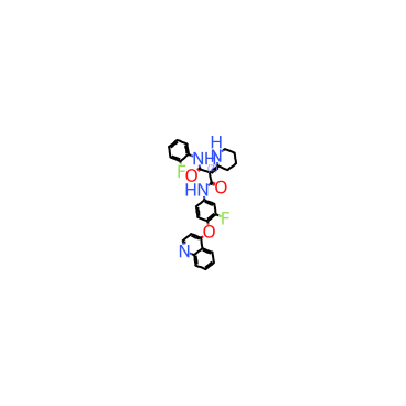 O=C(Nc1ccc(Oc2ccnc3ccccc23)c(F)c1)/C(C(=O)Nc1ccccc1F)=C1\CCCCN1